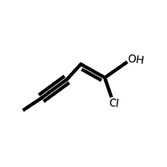 CC#CC=C(O)Cl